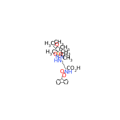 Cc1c(C)c(S(=O)(=O)/N=C(/NCCCC[C@@H](NC(=O)OCC2c3ccccc3-c3ccccc32)C(=O)O)N(C)C)c(C)c2c1OC(C)(C)C2